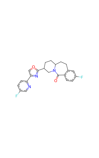 O=C1c2ccc(F)cc2CCC2CCC(c3nc(-c4ccc(F)cn4)co3)CN12